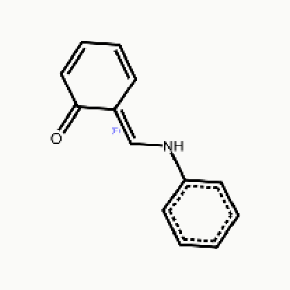 O=C1C=CC=C/C1=C\Nc1ccccc1